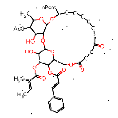 C/C=C(\C)C(=O)OC1C(O)C2OC(COC(=O)CCC(=O)CCCCCCC(CCCCC)OC3OC(C)C(OC(C)=O)C(O)C3O2)C1OC(=O)/C=C/c1ccccc1